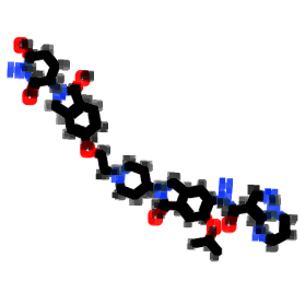 CC(C)Oc1cc2c(cc1NC(=O)c1cnn3cccnc13)CN(C1CCN(CCOc3ccc4c(c3)CN(C3CCC(=O)NC3=O)C4=O)CC1)C2=O